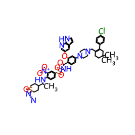 CC(Nc1ccc(S(=O)(=O)NC(=O)c2ccc(N3CCN(CC4=C(c5ccc(Cl)cc5)CC(C)(C)CC4)CC3)cc2Oc2cnc3[nH]ccc3c2)cc1[N+](=O)[O-])C1CCS(=O)(=NC#N)CC1